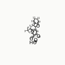 CC(C)(C)C1Cc2c(oc3ccccc23)-c2cc(=O)c(C(=O)OO)cn21